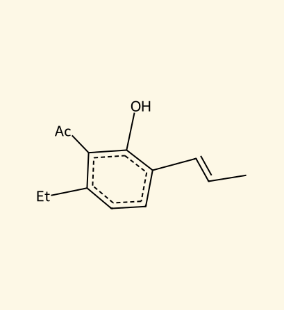 C/C=C/c1ccc(CC)c(C(C)=O)c1O